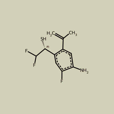 C=C(C)c1cc(N)c(F)cc1[C@@H](S)C(F)F